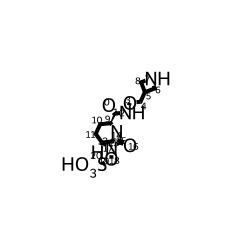 O=C(NOCC1CNC1)[C@@H]1CC[C@@H]2CN1C(=O)N2OS(=O)(=O)O